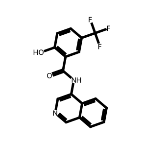 O=C(Nc1cncc2ccccc12)c1cc(C(F)(F)F)ccc1O